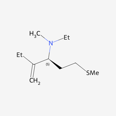 C=C(CC)[C@H](CCSC)N(C)CC